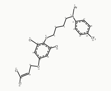 CC(C)N(CCCCOc1c(Cl)cc(OCC=C(Cl)Cl)cc1Cl)c1ccc(C(F)(F)F)cc1